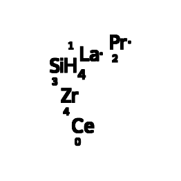 [Ce].[La].[Pr].[SiH4].[Zr]